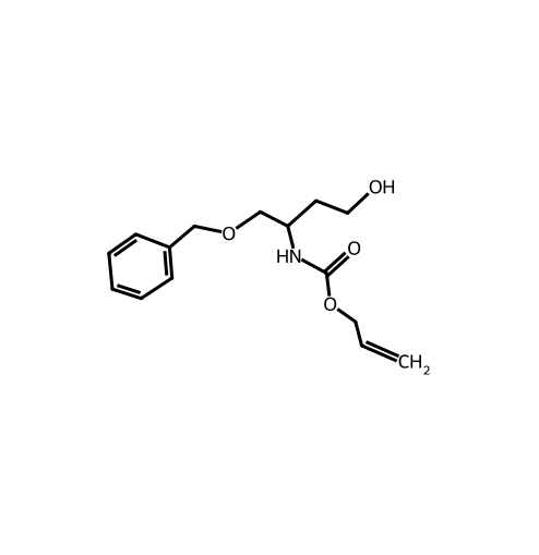 C=CCOC(=O)NC(CCO)COCc1ccccc1